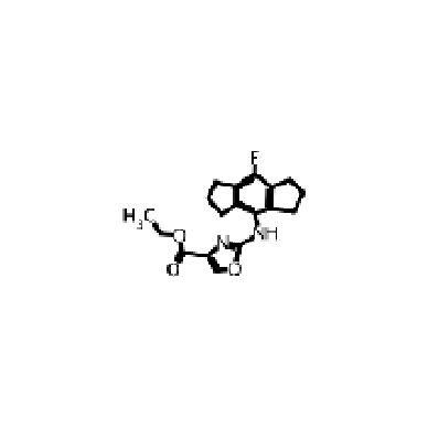 CCOC(=O)c1coc(Nc2c3c(c(F)c4c2CCC4)CCC3)n1